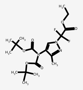 CCOC(=O)C(F)(F)n1cc(N(C(=O)OC(C)(C)C)C(=O)OC(C)(C)C)c(C)n1